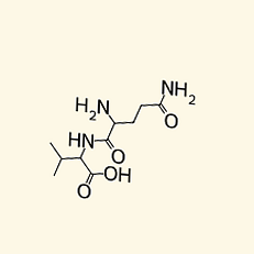 CC(C)C(NC(=O)C(N)CCC(N)=O)C(=O)O